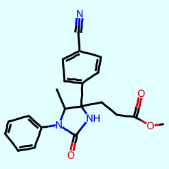 COC(=O)CCC1(c2ccc(C#N)cc2)NC(=O)N(c2ccccc2)C1C